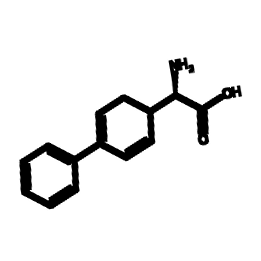 N[C@@H](C(=O)O)C1C=CC(c2ccccc2)=CC1